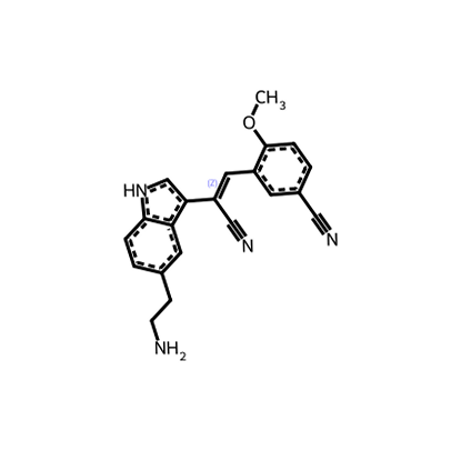 COc1ccc(C#N)cc1/C=C(\C#N)c1c[nH]c2ccc(CCN)cc12